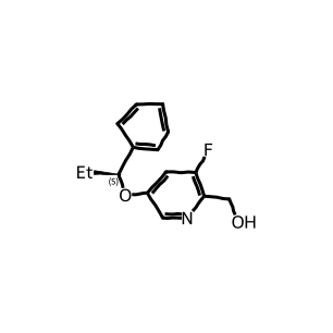 [CH2]C[C@H](Oc1cnc(CO)c(F)c1)c1ccccc1